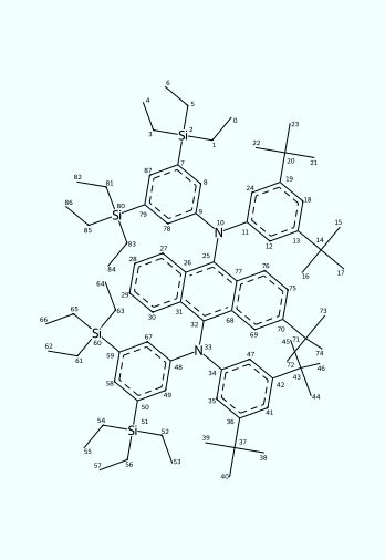 CC[Si](CC)(CC)c1cc(N(c2cc(C(C)(C)C)cc(C(C)(C)C)c2)c2c3ccccc3c(N(c3cc(C(C)(C)C)cc(C(C)(C)C)c3)c3cc([Si](CC)(CC)CC)cc([Si](CC)(CC)CC)c3)c3cc(C(C)(C)C)ccc23)cc([Si](CC)(CC)CC)c1